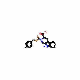 Cc1ccc(CSC(=S)N2Cc3[nH]c4ccccc4c3CC2C(=O)O)cc1